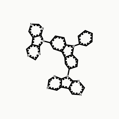 c1ccc(-n2c3ccc(-n4c5ncncc5c5cncnc54)cc3c3cc(-n4c5ncncc5c5cncnc54)ccc32)cc1